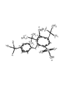 CC(C)(C)c1cc(S(=O)(=O)O)c(Cc2ccc(C(F)(F)F)cc2)c(C(C)(C)C)c1O